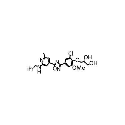 COc1cc(-c2noc(-c3cc(C)nc(NCC(C)C)c3)n2)cc(Cl)c1OC[C@H](O)CO